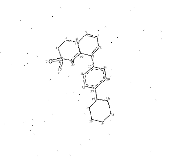 O=S1(=O)CCN2C=CC=C(c3ccc(C4CCCCC4)cc3)C2=N1